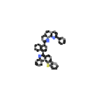 C1=CCCC(c2ccc3c(n2)C2N=C(c4ccc(-c5nc6ccccc6c6c5CCc5c-6sc6ccccc56)c5c4CCC=C5)C=CC2C=C3)=C1